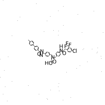 Cc1ccc(-c2ccc(-c3nc(-c4ccc(CN(CC(=O)O)Cc5ccc(NC(=O)Cc6ccc(Cl)cc6C(F)(F)F)cc5)cc4)no3)cc2)cc1